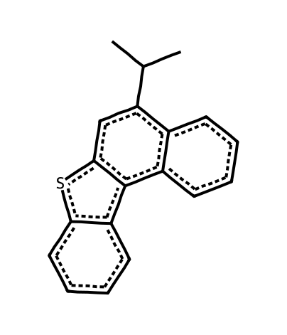 CC(C)c1cc2sc3ccccc3c2c2ccccc12